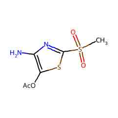 CC(=O)Oc1sc(S(C)(=O)=O)nc1N